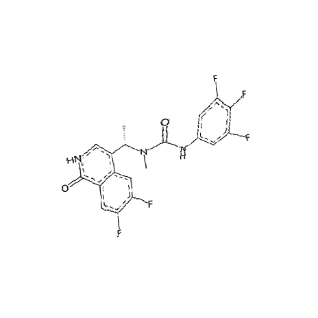 C[C@@H](c1c[nH]c(=O)c2cc(F)c(F)cc12)N(C)C(=O)Nc1cc(F)c(F)c(F)c1